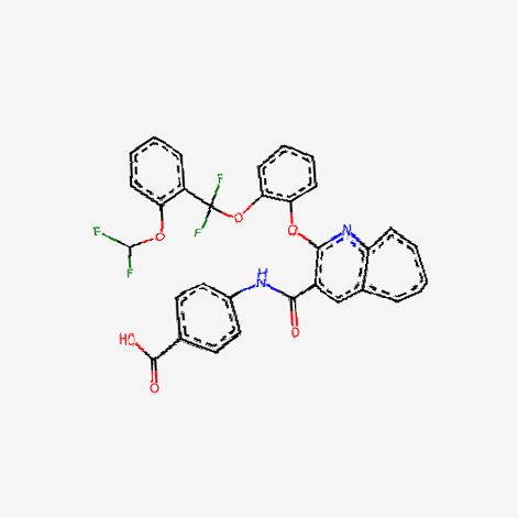 O=C(O)c1ccc(NC(=O)c2cc3ccccc3nc2Oc2ccccc2OC(F)(F)c2ccccc2OC(F)F)cc1